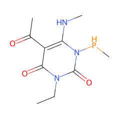 CCn1c(=O)c(C(C)=O)c(NC)n(PC)c1=O